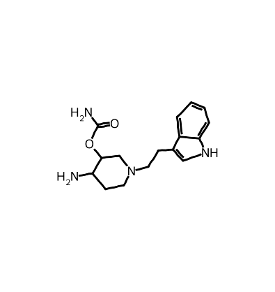 NC(=O)OC1CN(CCc2c[nH]c3ccccc23)CCC1N